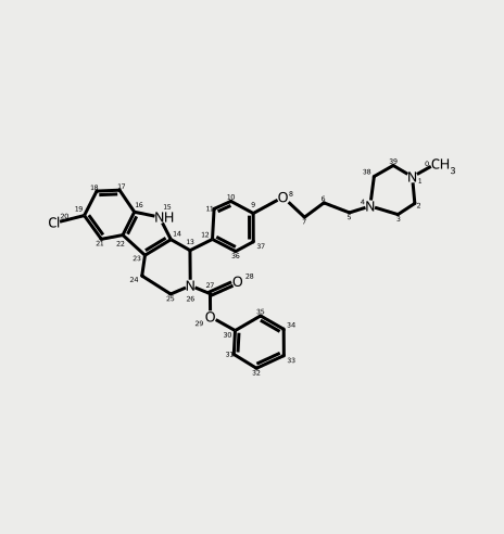 CN1CCN(CCCOc2ccc(C3c4[nH]c5ccc(Cl)cc5c4CCN3C(=O)Oc3ccccc3)cc2)CC1